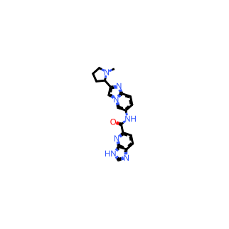 CN1CCCC1c1cn2cc(NC(=O)c3ccc4nc[nH]c4n3)ccc2n1